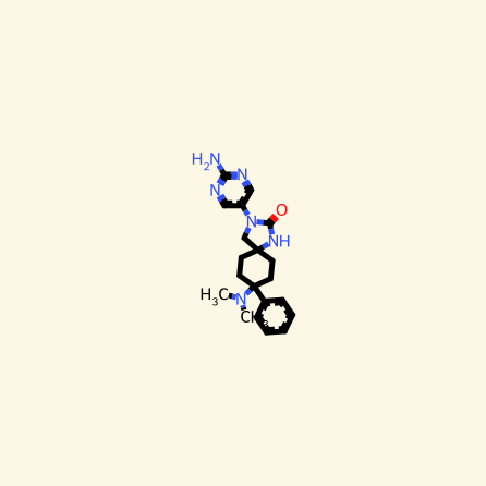 CN(C)C1(c2ccccc2)CCC2(CC1)CN(c1cnc(N)nc1)C(=O)N2